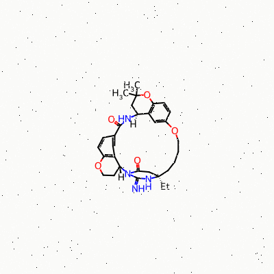 CC[C@]12CCCCOc3ccc4c(c3)[C@H](CC(C)(C)O4)NC(=O)c3ccc4c(c3)[C@@H](CCO4)N(C(=N)N1)C(=O)C2